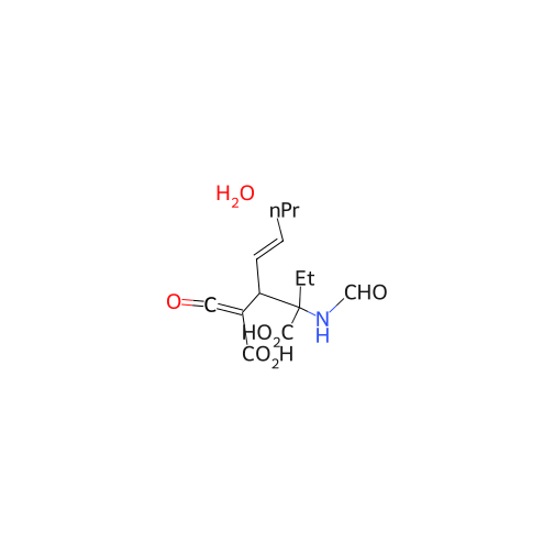 CCCC=CC(C(=C=O)C(=O)O)C(CC)(NC=O)C(=O)O.O